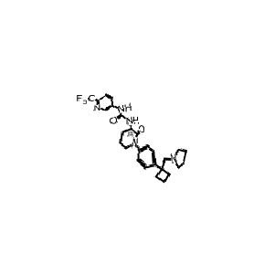 O=C(Nc1ccc(C(F)(F)F)nc1)N[C@@H]1CCCN(c2ccc(C3(CN4CCCC4)CCC3)cc2)C1=O